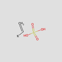 C=[CH][K].O=S(=O)(O)O